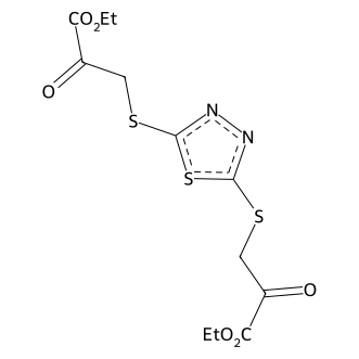 CCOC(=O)C(=O)CSc1nnc(SCC(=O)C(=O)OCC)s1